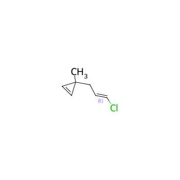 CC1(C/C=C/Cl)C=C1